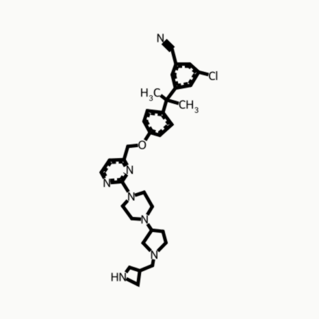 CC(C)(c1ccc(OCc2ccnc(N3CCN(C4CCN(CC5CNC5)C4)CC3)n2)cc1)c1cc(Cl)cc(C#N)c1